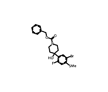 CSc1cc(F)c(C2(O)CCN(C(=O)OCc3ccccc3)CC2)cc1Br